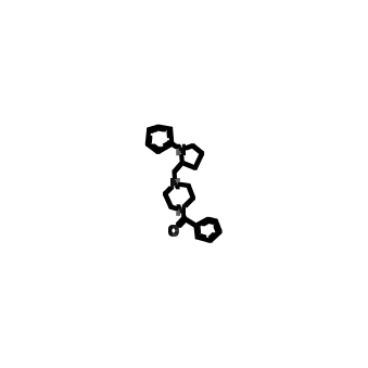 O=C(c1ccccc1)N1CCN(CC2CCCN2c2ccccc2)CC1